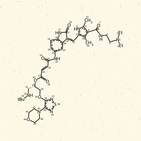 CCN(CC)CCNC(=O)c1c(C)[nH]c(/C=C2\C(=O)Nc3ccc(NC(=O)/C=C/C(=O)O[C@@H](CNC(C)(C)C)COc4nsnc4N4CCOCC4)cc32)c1C